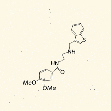 COc1ccc(C(=O)NCCNCc2csc3ccccc23)cc1OC